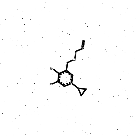 C=CCOCc1cc(C2CC2)cc(F)c1Br